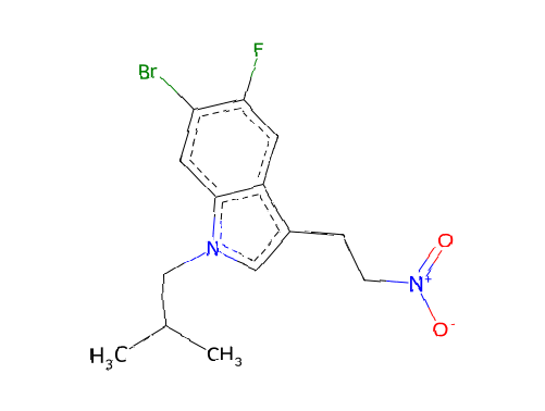 CC(C)Cn1cc(CC[N+](=O)[O-])c2cc(F)c(Br)cc21